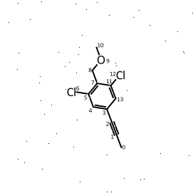 CC#Cc1cc(Cl)c(COC)c(Cl)c1